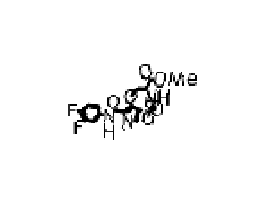 COC(=O)C1COc2c(cn(C)c2C(=O)Nc2ccc(F)c(F)c2)S(=O)(=O)N1